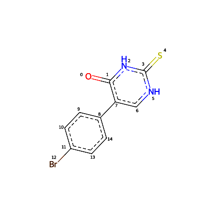 O=c1[nH]c(=S)[nH]cc1-c1ccc(Br)cc1